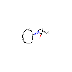 O=C(O)C1CCN(C2CCCCCCCCCCC2)C1=O